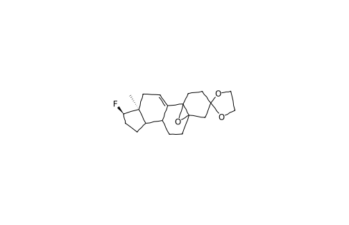 C[C@]12CC=C3C(CCC45CC6(CCC34O5)OCCO6)C1CC[C@H]2F